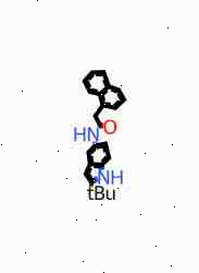 CC(C)(C)c1cc2cc(NC(=O)Cc3cccc4ccccc34)ccc2[nH]1